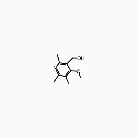 COc1c(C)c(C)nc(C)c1CO